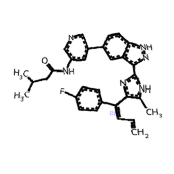 C=C/C=C(/c1ccc(F)cc1)c1nc(-c2n[nH]c3ccc(-c4cncc(NC(=O)CC(C)C)c4)cc23)[nH]c1C